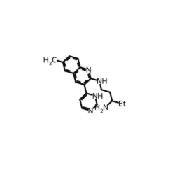 CCC(N)CCNc1nc2ccc(C)cc2cc1C1=CC=NCN1